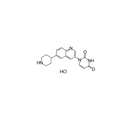 Cl.O=c1ccn(-c2cnc3ccc(C4CCNCC4)cc3c2)c(=O)[nH]1